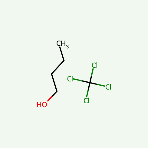 CCCCO.ClC(Cl)(Cl)Cl